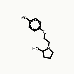 CC(C)c1ccc(OCCN2CCCC2O)cc1